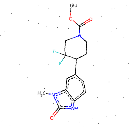 Cn1c(=O)[nH]c2ccc(C3CCN(C(=O)OC(C)(C)C)CC3(F)F)cc21